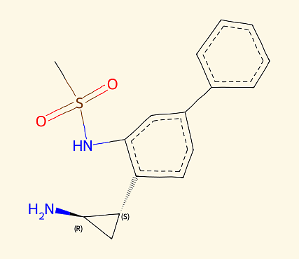 CS(=O)(=O)Nc1cc(-c2ccccc2)ccc1[C@@H]1C[C@H]1N